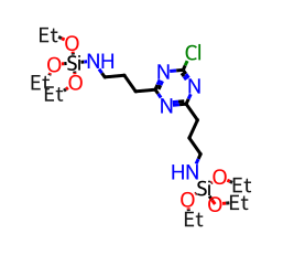 CCO[Si](NCCCc1nc(Cl)nc(CCCN[Si](OCC)(OCC)OCC)n1)(OCC)OCC